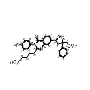 COCC1(c2ccccc2)CC(c2ccc3c(=O)n(-c4ccc(F)cc4)c(CCCCC(=O)O)nc3c2)=NO1